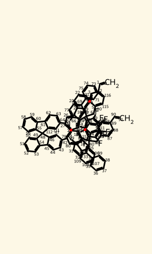 C=Cc1ccc(CC2(c3c(F)c(F)c(F)c(F)c3F)c3ccccc3-c3ccc(N(c4ccc(-c5ccccc5)cc4)c4ccc5c(c4)C4(c6ccccc6-5)c5ccccc5-c5ccc(N(c6ccc(-c7ccccc7)cc6)c6ccc7c(c6)C(Cc6ccc(C=C)cc6)(c6c(F)c(F)c(F)c(F)c6F)c6ccccc6-7)cc54)cc32)cc1